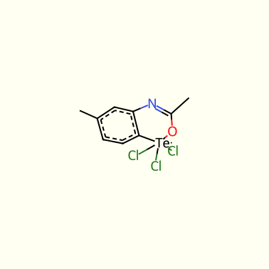 CC1=Nc2cc(C)ccc2[Te](Cl)(Cl)(Cl)O1